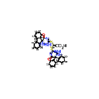 O=C(O)C(SC1=NC(=O)C2(NN1)c1ccccc1-c1ccccc12)SC1=NC(=O)C2(NN1)c1ccccc1-c1ccccc12